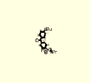 CC(C)O[PH](=O)c1ccc(C(=O)c2ccc(C(C)(C)C)cc2)cc1